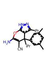 Cc1cc(C)cc(C2(C(C)C)C(C#N)=C(N)Oc3[nH]nc(C(C)C)c32)c1